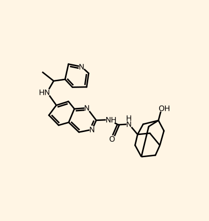 CC(Nc1ccc2cnc(NC(=O)NC34CC5CC(CC(O)(C5)C3)C4)nc2c1)c1cccnc1